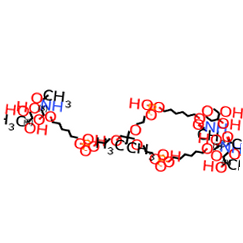 CC(=O)NC1C(OCCCCCCOP(O)OCCCOCC(COCCCOP(=O)(O)OCCCCCCOC(OC(CO)[C@@H](C)O)[C@H](O)NC(C)=O)(COCCCOP(=O)(O)OCCCCCCOC(OC(CO)[C@@H](C)O)[C@H](O)NC(C)=O)C(C)C)OCC(O)C1O